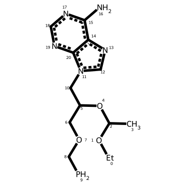 CCOC(C)OC(COCP)Cn1cnc2c(N)ncnc21